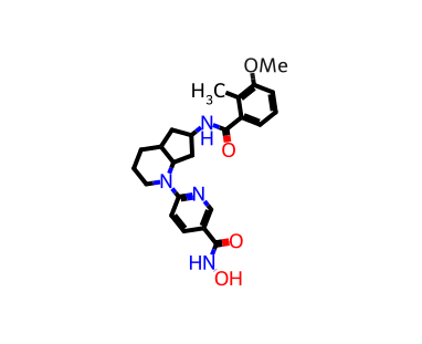 COc1cccc(C(=O)NC2CC3CCCN(c4ccc(C(=O)NO)cn4)C3C2)c1C